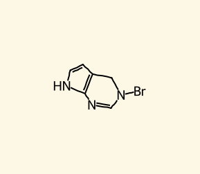 BrN1C=Nc2[nH]ccc2C1